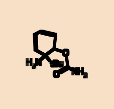 CC(C)(C)C1(N)C=CC=CC1OC(N)=O